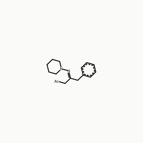 CC(=O)CC(Cc1ccccc1)=NN1CCCCC1